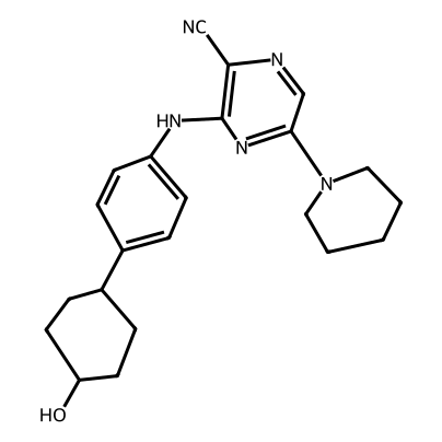 N#Cc1ncc(N2CCCCC2)nc1Nc1ccc(C2CCC(O)CC2)cc1